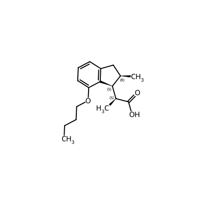 CCCCOc1cccc2c1[C@H]([C@H](C)C(=O)O)[C@H](C)C2